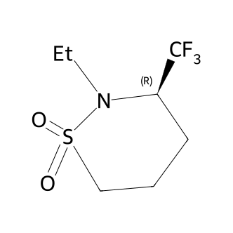 CCN1[C@@H](C(F)(F)F)CCCS1(=O)=O